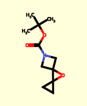 CC(C)(C)OC(=O)N1CC2(C1)OC21CC1